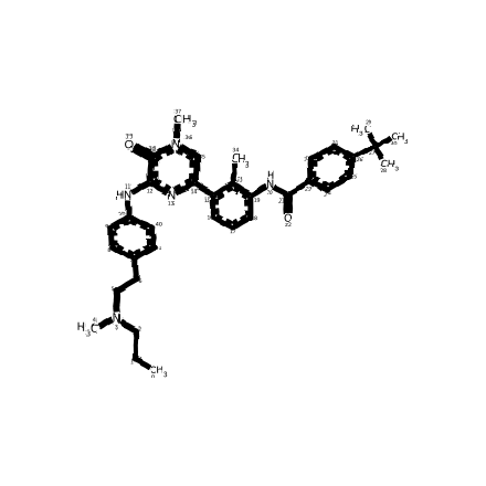 CCCN(C)CCc1ccc(Nc2nc(-c3cccc(NC(=O)c4ccc(C(C)(C)C)cc4)c3C)cn(C)c2=O)cc1